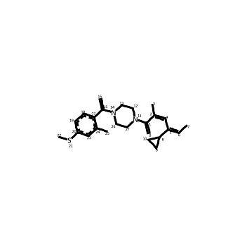 C=C(/C(C)=C\C(=C/C)C1CC1)N1CCN(C(=C)c2ccc(SC)cc2C)CC1